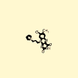 Cc1cc2nc3c(=O)[nH]c(=O)nc-3n(CCCn3cccc3)c2cc1Cl